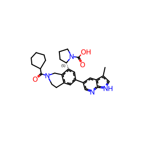 Cc1c[nH]c2ncc(-c3cc4c(c([C@@H]5CCCN5C(=O)O)c3)CN(C(=O)C3CCCCC3)CC4)cc12